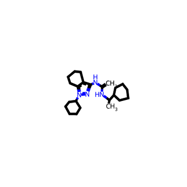 C=C(Nc1nn(C2CCCCC2)c2c1CCCC2)NC(C)C1CCCCC1